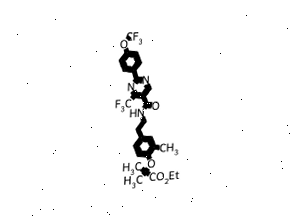 CCOC(=O)C(C)(C)Oc1ccc(CCNC(=O)c2cnc(-c3ccc(OC(F)(F)F)cc3)nc2C(F)(F)F)cc1C